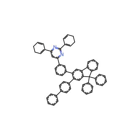 C1=CC(c2cc(-c3cccc(-c4cc5c(cc4-c4ccc(-c6ccccc6)cc4)C(c4ccccc4)(c4ccccc4)c4ccccc4-5)c3)nc(C3=CCCC=C3)n2)=CCC1